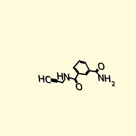 C#CCNC(=O)c1cccc(C(N)=O)c1